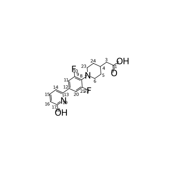 O=C(O)CC1CCN(c2c(F)cc(-c3cccc(O)n3)cc2F)CC1